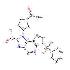 COC(=O)C1CC[C@@H](n2c([C@@H](C)O)nc3cnc4c(ccn4S(=O)(=O)c4ccccc4)c32)C1